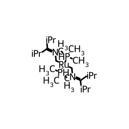 CC(C)C(=N[CH2][Ru]([CH2]N=C(C(C)C)C(C)C)([PH](C)(C)C)[PH](C)(C)C)C(C)C